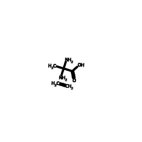 C=C.CC(N)(N)C(=O)O